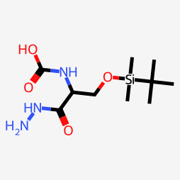 CC(C)(C)[Si](C)(C)OCC(NC(=O)O)C(=O)NN